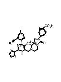 C#Cc1cc(I)ccc1[C@@H]1N=C(c2nccs2)NC(CN2CCN3C(=O)N(c4ccc(C(=O)O)c(F)c4)C[C@@H]3C2)=C1C(=O)OCC